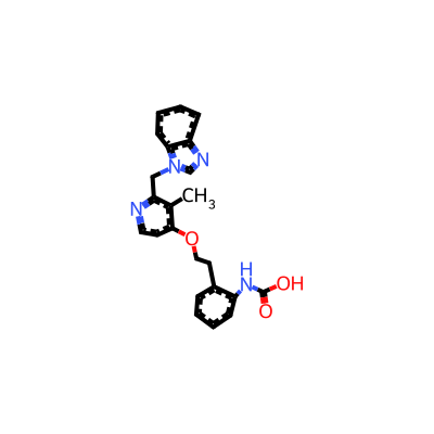 Cc1c(OCCc2ccccc2NC(=O)O)ccnc1Cn1cnc2ccccc21